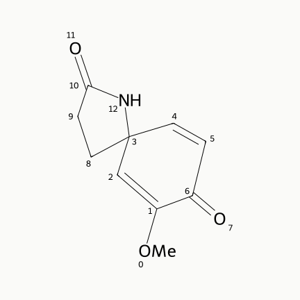 COC1=CC2(C=CC1=O)CCC(=O)N2